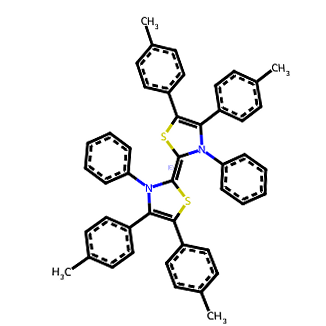 Cc1ccc(C2=C(c3ccc(C)cc3)N(c3ccccc3)/C(=C3\SC(c4ccc(C)cc4)=C(c4ccc(C)cc4)N3c3ccccc3)S2)cc1